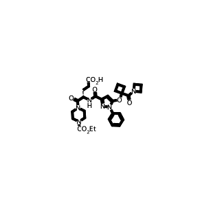 CCOC(=O)N1CCN(C(=O)[C@H](CCC(=O)O)NC(=O)c2cc(OC3(C(=O)N4CCC4)CCC3)n(-c3ccccc3)n2)CC1